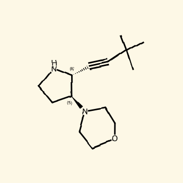 CC(C)(C)C#C[C@H]1NCC[C@@H]1N1CCOCC1